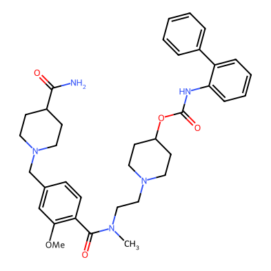 COc1cc(CN2CCC(C(N)=O)CC2)ccc1C(=O)N(C)CCN1CCC(OC(=O)Nc2ccccc2-c2ccccc2)CC1